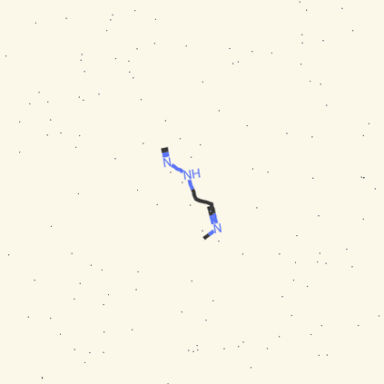 C=NNC/C=N\C